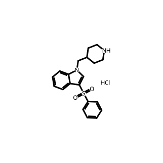 Cl.O=S(=O)(c1ccccc1)c1cn(CC2CCNCC2)c2ccccc12